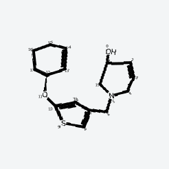 OC1C=CCN(Cc2csc(O[C@@H]3C=CCCC3)c2)C1